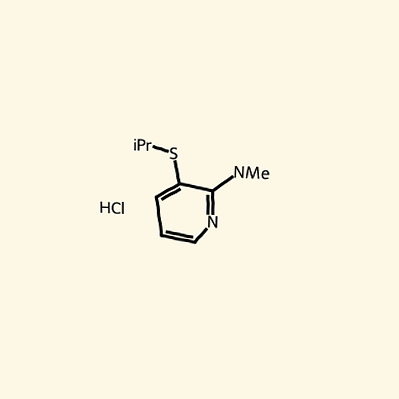 CNc1ncccc1SC(C)C.Cl